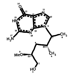 CO[C@H](CO)C[C@@H](C)C(C)n1cnc2c(=O)[nH]c(N)nc21